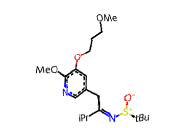 COCCCOc1cc(C/C(=N\[S@@+]([O-])C(C)(C)C)C(C)C)cnc1OC